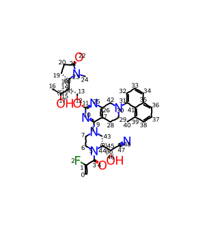 C=C(F)C(=O)N1CCN(c2nc(OC[C@H]([C@H](C)O)[C@@H]3CCC(=O)N3C)nc3c2CCN(c2cccc4cccc(C)c24)C3)C[C@@H]1[C@@H](O)C#N